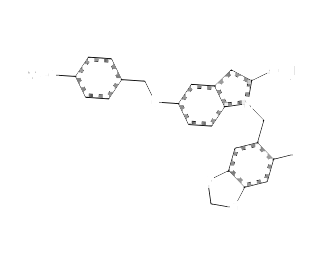 CCOC(=O)c1cc2cc(OCc3ccc(OC)cc3)ccc2n1Cc1cc2c(cc1Cl)OCO2